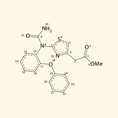 COC(=O)Cc1csc(N(C(N)=O)c2ccccc2Oc2ccccc2)n1